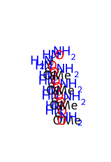 COc1ccc(NC(=O)[C@H](CCCCCN)NC(=O)c2cc(NC(=O)[C@H](CCCCN)NC(=O)c3cc(NC(=O)[C@H](CCCCN)NC(=O)c4cc(NC(=O)[C@@H](N)CCCNC(N)=O)ccc4OC)ccc3OC)ccc2OC)cc1C(N)=O